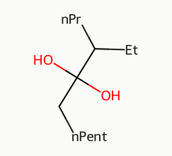 CCCCCCC(O)(O)C(CC)CCC